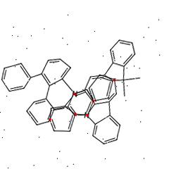 CC1(C)c2ccccc2-c2cc(N(c3ccccc3-n3c4ccccc4c4ccccc43)c3cccc(-c4ccccc4)c3-c3ccccc3-c3ccccc3)ccc21